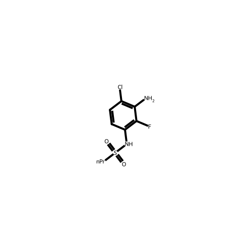 CCCS(=O)(=O)Nc1ccc(Cl)c(N)c1F